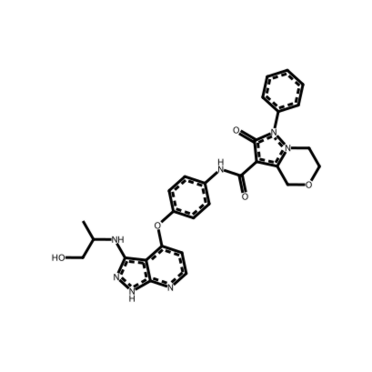 CC(CO)Nc1n[nH]c2nccc(Oc3ccc(NC(=O)c4c5n(n(-c6ccccc6)c4=O)CCOC5)cc3)c12